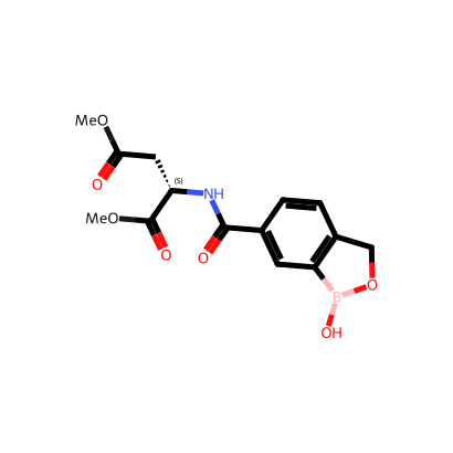 COC(=O)C[C@H](NC(=O)c1ccc2c(c1)B(O)OC2)C(=O)OC